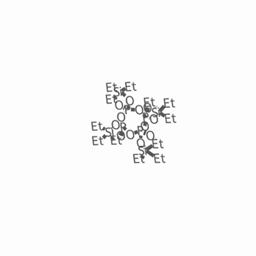 CC[Si](CC)(CC)OP1(=O)OP(=O)(O[Si](CC)(CC)CC)OP(=O)(O[Si](CC)(CC)CC)OP(=O)(O[Si](CC)(CC)CC)O1